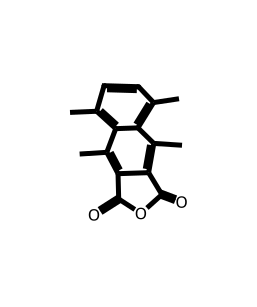 Cc1ccc(C)c2c(C)c3c(c(C)c12)C(=O)OC3=O